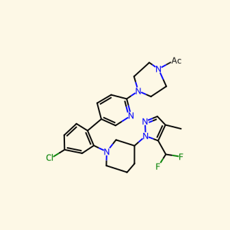 CC(=O)N1CCN(c2ccc(-c3ccc(Cl)cc3N3CCCC(n4ncc(C)c4C(F)F)C3)cn2)CC1